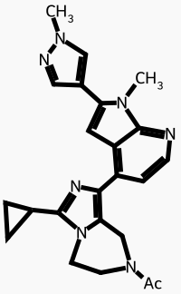 CC(=O)N1CCn2c(C3CC3)nc(-c3ccnc4c3cc(-c3cnn(C)c3)n4C)c2C1